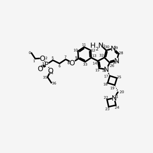 CCOP(=O)(CCCOc1cccc(-c2cn([C@H]3C[C@@H](CN4CCC4)C3)c3ncnc(N)c23)c1)OCC